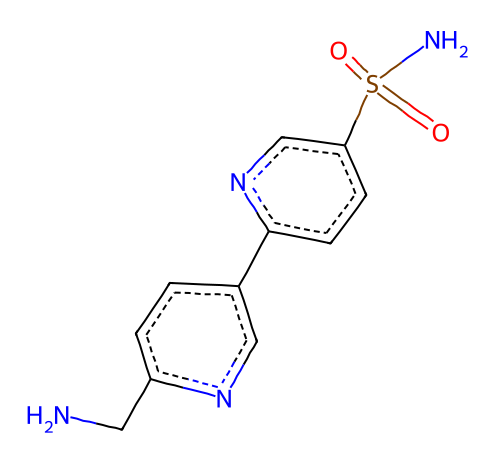 NCc1ccc(-c2ccc(S(N)(=O)=O)cn2)cn1